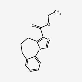 CCOC(=O)c1ncn2c1CCCc1ccccc1-2